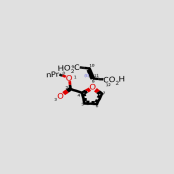 CCCOC(=O)c1ccco1.O=C(O)/C=C/C(=O)O